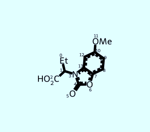 CCC(C(=O)O)n1c(=O)oc2ccc(OC)cc21